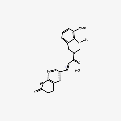 CCOc1c(CN(C)C(=O)/C=C/c2cnc3c(c2)CCC(=O)N3)cccc1OC.Cl